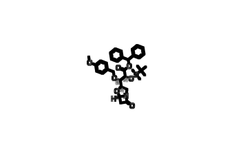 COc1ccc(CO[C@@H]([C@H]2CN3C(=O)C[C@@H]3O2)[C@@H](O[Si](C)(C)C(C)(C)C)C(=O)OC(c2ccccc2)c2ccccc2)cc1